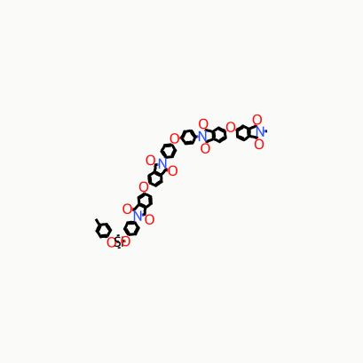 Cc1ccc(O[Si](C)(C)Oc2ccc(N3C(=O)c4ccc(Oc5ccc6c(c5)C(=O)N(c5ccc(Oc7ccc(N8C(=O)c9ccc(Oc%10ccc%11c(c%10)C(=O)N(C)C%11=O)cc9C8=O)cc7)cc5)C6=O)cc4C3=O)cc2)cc1